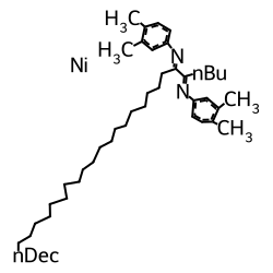 CCCCCCCCCCCCCCCCCCCCCCCCCCCCCC(=N\c1ccc(C)c(C)c1)/C(CCCC)=N/c1ccc(C)c(C)c1.[Ni]